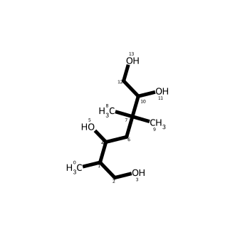 CC(CO)C(O)CC(C)(C)C(O)CO